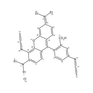 CCN(CC)c1ccc2c(-c3ccc(N=C=S)cc3C(=O)O)c3ccc(=[N+](CC)CC)cc-3oc2c1N=C=S.[Cl-]